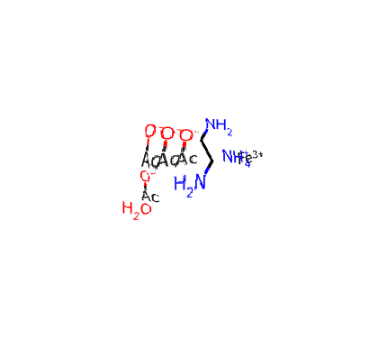 CC(=O)[O-].CC(=O)[O-].CC(=O)[O-].CC(=O)[O-].NCCN.O.[Fe+3].[NH4+]